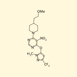 COCCC1CCN(c2ncnc(Oc3cc(C(F)(F)F)nn3C)c2[N+](=O)[O-])CC1